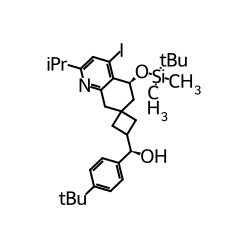 CC(C)c1cc(I)c2c(n1)CC1(CC([C@@H](O)c3ccc(C(C)(C)C)cc3)C1)C[C@@H]2O[Si](C)(C)C(C)(C)C